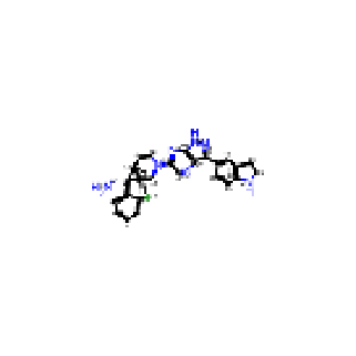 NC[C@]1(c2ccccc2F)[C@@H]2CCN(c3cnc4c(-c5ccc6c(c5)CCN6)n[nH]c4n3)C[C@@H]21